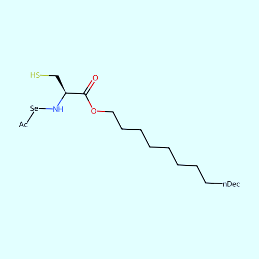 CCCCCCCCCCCCCCCCCCOC(=O)[C@H](CS)N[Se]C(C)=O